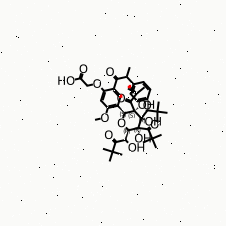 COc1cc(OCC(=O)O)c(C(=O)C(C)c2ccccc2)cc1[C@@H]1O[C@H](C(O)C(=O)C(C)(C)C)[C@](O)(C(=O)C(C)(C)C)[C@@](O)(C(=O)C(C)(C)C)[C@]1(O)C(=O)C(C)(C)C